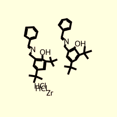 CC(C)(C)c1cc(CN=Cc2ccccc2)c(O)c(C(C)(C)C)c1.CC(C)(C)c1cc(CN=Cc2ccccc2)c(O)c(C(C)(C)C)c1.Cl.Cl.[Zr]